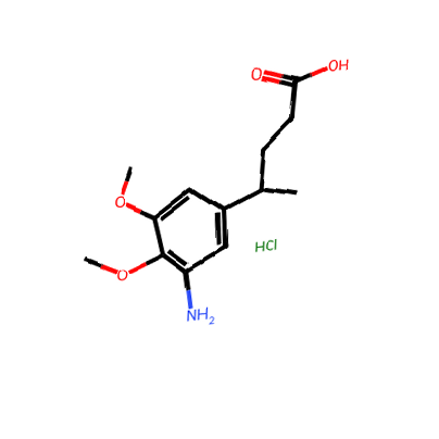 COc1cc(C(C)CCC(=O)O)cc(N)c1OC.Cl